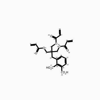 C=CC(=O)OCC(COC(=O)C=C)(COC(=O)C=C)Cc1cccc(C(=O)O)c1C(=O)O